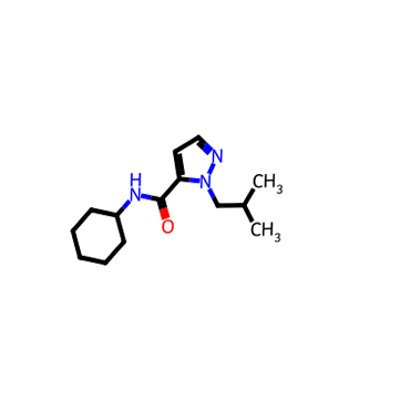 CC(C)Cn1nccc1C(=O)NC1CCCCC1